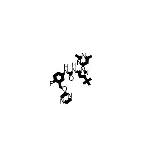 Cc1cc(-n2nc(C(C)(C)C)cc2NC(=O)Nc2ccc(F)c(COc3cnccn3)c2)nc(C)n1